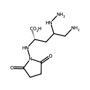 NCC(C[C@H](NN1C(=O)CCC1=O)C(=O)O)NN